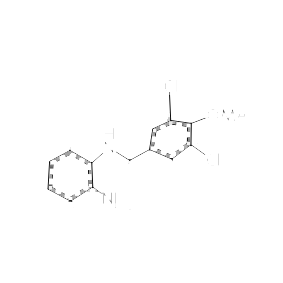 COc1c(Cl)cc(CNc2ccccc2N)cc1Cl